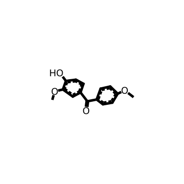 COc1ccc(C(=O)c2ccc(O)c(OC)c2)cc1